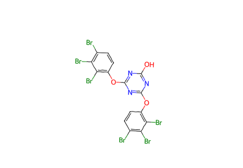 Oc1nc(Oc2ccc(Br)c(Br)c2Br)nc(Oc2ccc(Br)c(Br)c2Br)n1